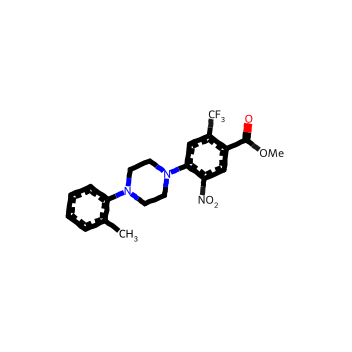 COC(=O)c1cc([N+](=O)[O-])c(N2CCN(c3ccccc3C)CC2)cc1C(F)(F)F